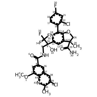 COc1cc(C(=O)NC[C@](O)(c2cc3c(c(-c4ccc(F)cc4Cl)n2)OC[C@]3(C)C(N)=O)C(F)(F)F)cc2cc(Cl)c(C)nc12